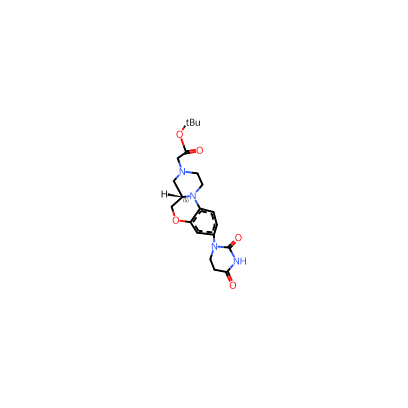 CC(C)(C)OC(=O)CN1CCN2c3ccc(N4CCC(=O)NC4=O)cc3OC[C@@H]2C1